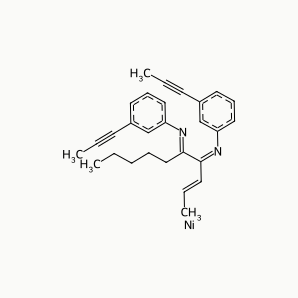 CC#Cc1cccc(N=C(C=CC)C(CCCCC)=Nc2cccc(C#CC)c2)c1.[Ni]